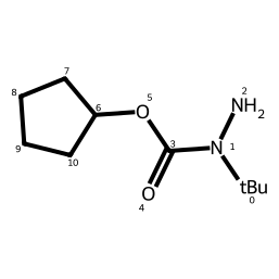 CC(C)(C)N(N)C(=O)OC1CCCC1